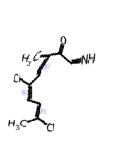 C\C(Cl)=C/C=C(Cl)\C=C(/C)C(=O)C=N